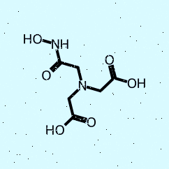 O=C(O)CN(CC(=O)O)CC(=O)NO